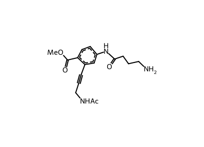 COC(=O)c1ccc(NC(=O)CCCN)cc1C#CCNC(C)=O